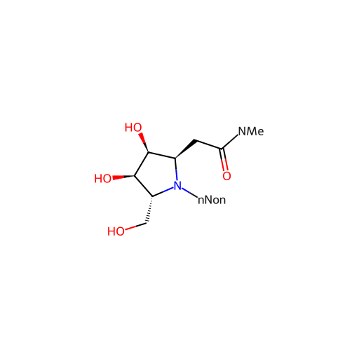 CCCCCCCCCN1[C@H](CC(=O)NC)[C@H](O)[C@H](O)[C@H]1CO